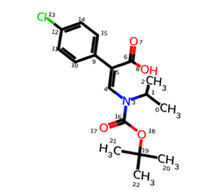 CC(C)N(C=C(C(=O)O)c1ccc(Cl)cc1)C(=O)OC(C)(C)C